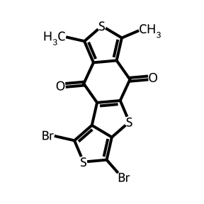 Cc1sc(C)c2c1C(=O)c1sc3c(Br)sc(Br)c3c1C2=O